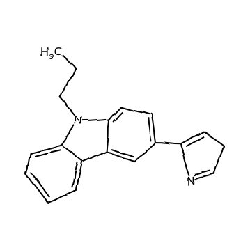 CCCn1c2ccccc2c2cc(C3=CCC=N3)ccc21